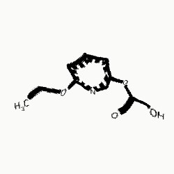 CCOc1cccc(OC(=O)O)n1